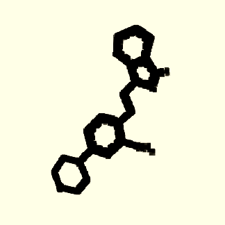 Nc1cc(N2CCOCC2)ccc1C=Cc1n[nH]c2ccccc12